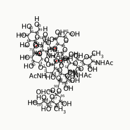 CC(=O)NC1C(OC2[C@@H](OCC3O[C@@H](O[C@@H]4C(CO)O[C@@H](O[C@@H]5C(CO)O[C@@H](C)C(NC(C)=O)[C@H]5O)C(NC(C)=O)[C@H]4O)C(O)[C@@H](O[C@H]4OC(CO)[C@@H](O)C(O)C4O[C@@H]4OC(CO)[C@@H](O[C@@H]5OC(CO)[C@H](O)[C@H](O)C5O)[C@H](O)C4NC(C)=O)[C@@H]3O)OC(CO)[C@@H](O)[C@@H]2O)O[C@@H](CO)[C@@H](O[C@@H]2OC(CO[C@]3(OC=O)CC(O)[C@@H](C)C(C(O)[C@H](O)CO)O3)[C@H](O)[C@H](O)C2O)C1O